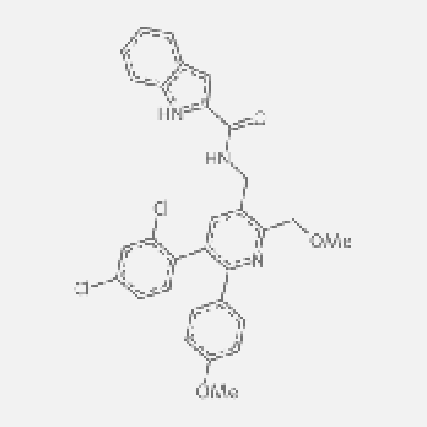 COCc1nc(-c2ccc(OC)cc2)c(-c2ccc(Cl)cc2Cl)cc1CNC(=O)c1cc2ccccc2[nH]1